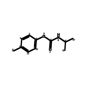 [CH2]c1ccc(OC(=O)NC(C)C)cc1